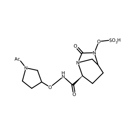 CC(=O)N1CCC(ONC(=O)[C@@H]2CCC3CN2C(=O)N3OS(=O)(=O)O)C1